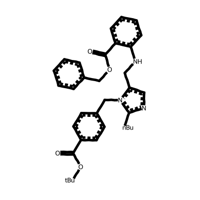 CCCCc1ncc(CNc2ccccc2C(=O)OCc2ccccc2)n1Cc1ccc(C(=O)OC(C)(C)C)cc1